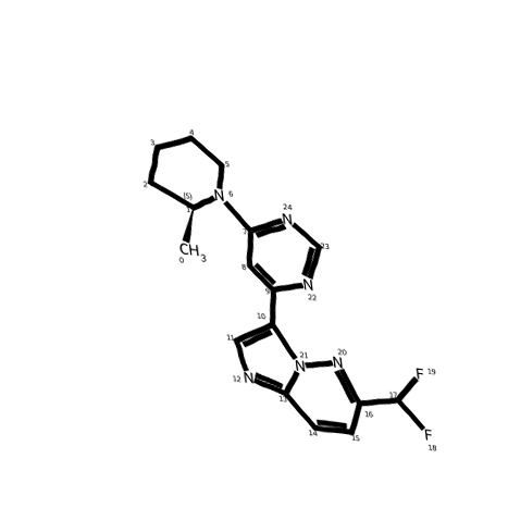 C[C@H]1CCCCN1c1cc(-c2cnc3ccc(C(F)F)nn23)ncn1